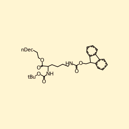 CCCCCCCCCCCCOC(=O)C(CCCCNC(=O)OCC1c2ccccc2-c2ccccc21)NC(=O)OC(C)(C)C